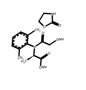 COCC(=O)N(c1c(C)cccc1C)[C@H](C)C(=O)OC.O=C1NCCO1